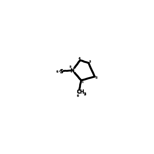 CC1CCCN1[S]